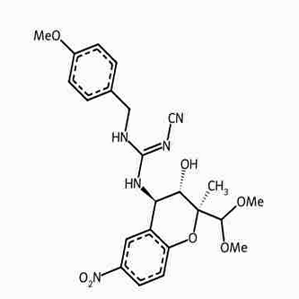 COc1ccc(CNC(=NC#N)N[C@@H]2c3cc([N+](=O)[O-])ccc3O[C@](C)(C(OC)OC)[C@H]2O)cc1